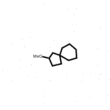 COC1CCC2(CCCCC2)C1